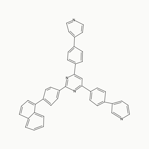 c1cncc(-c2ccc(-c3cc(-c4ccc(-c5ccncc5)cc4)nc(-c4ccc(-c5cccc6ccccc56)cc4)n3)cc2)c1